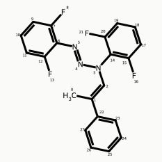 C/C(=C\N(/N=N/c1c(F)cccc1F)c1c(F)cccc1F)c1ccccc1